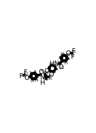 CC1(NC(=O)c2ccc(OC(F)F)cc2)COC2(CCC(NC(=O)c3ccc(OC(F)F)cc3)CC2)OC1